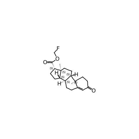 C[C@]12CC[C@H]3[C@@H](CCC4=CC(=O)CC[C@@]43C)[C@@H]1CC[C@@H]2C(=O)OCF